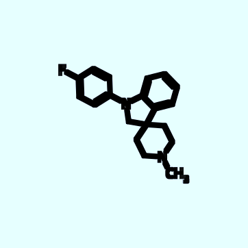 CN1CCC2(CC1)CN(c1ccc(F)cc1)c1ccccc12